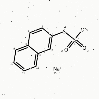 O=S(=O)([O-])Sc1ccc2ccccc2c1.[Na+]